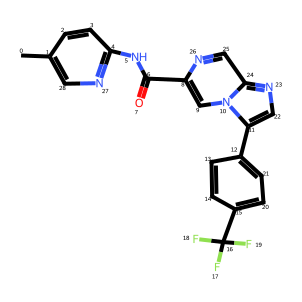 Cc1ccc(NC(=O)c2cn3c(-c4ccc(C(F)(F)F)cc4)cnc3cn2)nc1